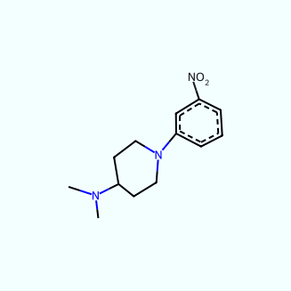 CN(C)C1CCN(c2cccc([N+](=O)[O-])c2)CC1